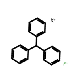 [F-].[K+].c1ccc(C(c2ccccc2)c2ccccc2)cc1